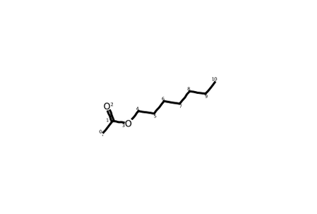 [CH2]C(=O)OCCCCCCC